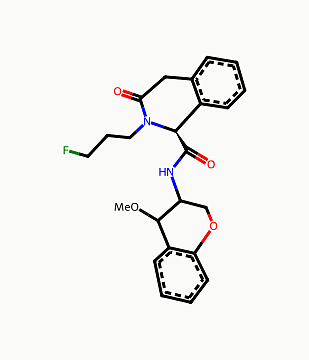 COC1c2ccccc2OCC1NC(=O)[C@@H]1c2ccccc2CC(=O)N1CCCF